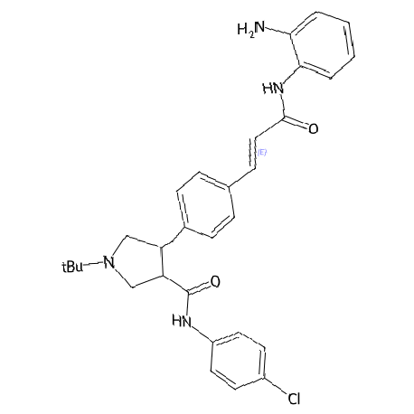 CC(C)(C)N1CC(C(=O)Nc2ccc(Cl)cc2)C(c2ccc(/C=C/C(=O)Nc3ccccc3N)cc2)C1